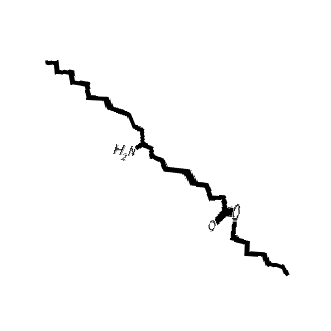 CCCCCCCCCCCCC(N)CCCCCCCCCC(=O)OCCCCCCC